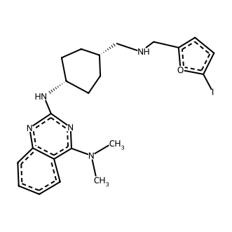 CN(C)c1nc(N[C@H]2CC[C@@H](CNCc3ccc(I)o3)CC2)nc2ccccc12